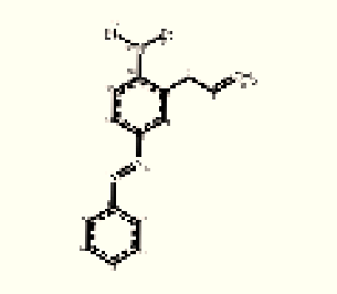 C=CCc1cc(N=Nc2ccccc2)ccc1N(CC)CC